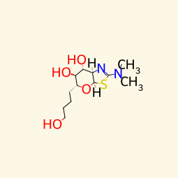 CN(C)C1=N[C@@H]2[C@@H](O)[C@H](O)[C@@H](CCCCO)O[C@@H]2S1